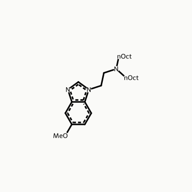 CCCCCCCCN(CCCCCCCC)CCn1cnc2cc(OC)ccc21